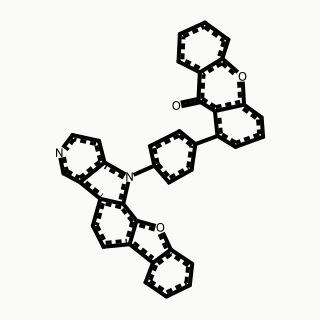 O=c1c2ccccc2oc2cccc(-c3ccc(-n4c5ccncc5c5ccc6c7ccccc7oc6c54)cc3)c12